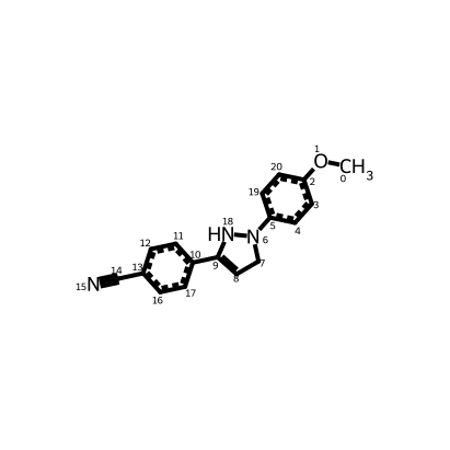 COc1ccc(N2CC=C(c3ccc(C#N)cc3)N2)cc1